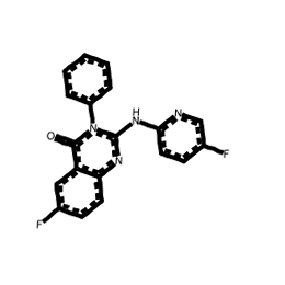 O=c1c2cc(F)ccc2nc(Nc2ccc(F)cn2)n1-c1ccccc1